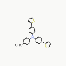 O=Cc1ccc(N(c2ccc(-c3cccs3)cc2)c2ccc(-c3cccs3)cc2)cc1